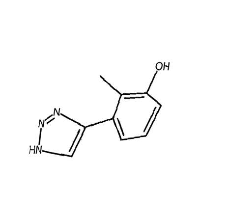 Cc1c(O)cccc1-c1c[nH]nn1